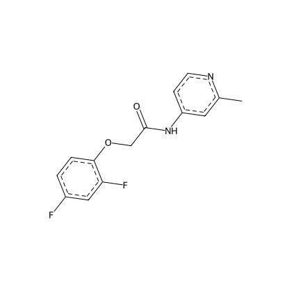 Cc1cc(NC(=O)COc2ccc(F)cc2F)ccn1